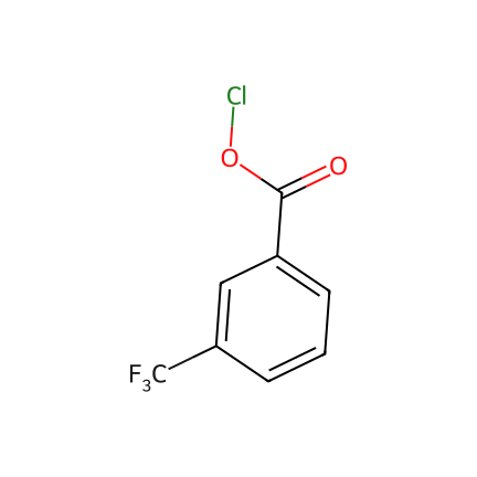 O=C(OCl)c1cccc(C(F)(F)F)c1